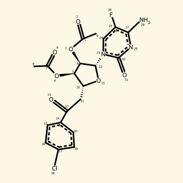 CC(=O)O[C@@H]1[C@H](OC(C)=O)[C@@H](CC(=O)c2ccc(Cl)cc2)O[C@H]1n1cc(F)c(N)nc1=O